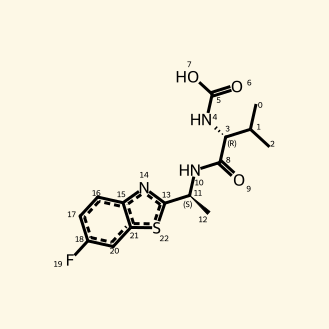 CC(C)[C@@H](NC(=O)O)C(=O)N[C@@H](C)c1nc2ccc(F)cc2s1